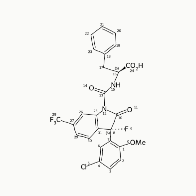 COc1ccc(Cl)cc1[C@]1(F)C(=O)N(C(=O)N[C@@H](Cc2ccccc2)C(=O)O)c2cc(C(F)(F)F)ccc21